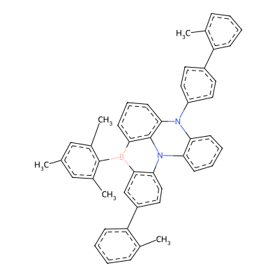 Cc1cc(C)c(B2c3cc(-c4ccccc4C)ccc3N3c4ccccc4N(c4ccc(-c5ccccc5C)cc4)c4cccc2c43)c(C)c1